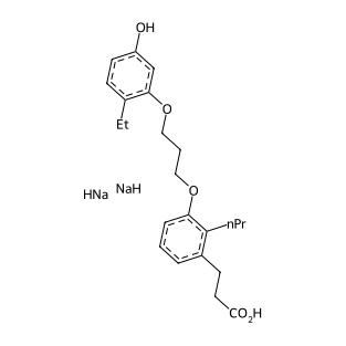 CCCc1c(CCC(=O)O)cccc1OCCCOc1cc(O)ccc1CC.[NaH].[NaH]